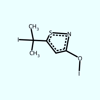 CC(C)(I)c1cc(OI)ns1